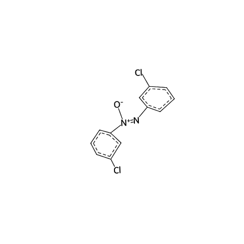 [O-][N+](=Nc1cccc(Cl)c1)c1cccc(Cl)c1